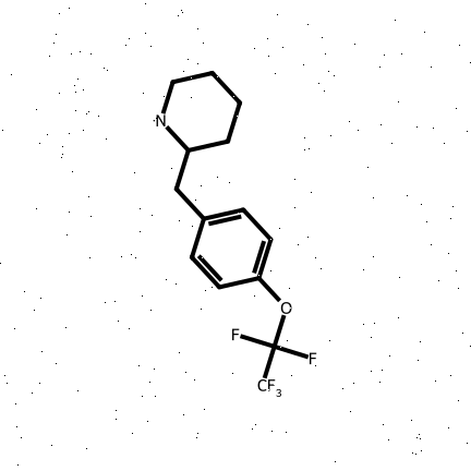 FC(F)(F)C(F)(F)Oc1ccc(CC2CCCC[N]2)cc1